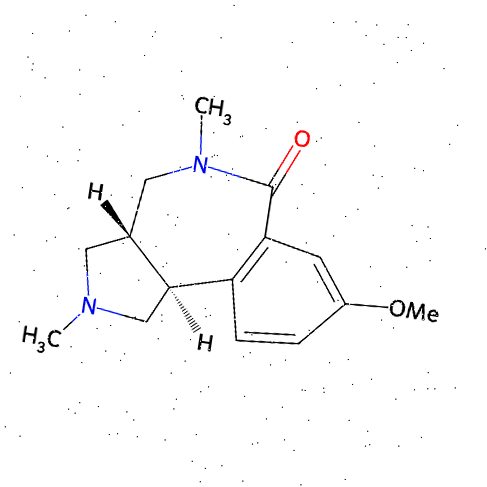 COc1ccc2c(c1)C(=O)N(C)C[C@H]1CN(C)C[C@H]21